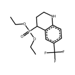 CCOP(=O)(OCC)C1CCNc2ccc(C(F)(F)F)cc21